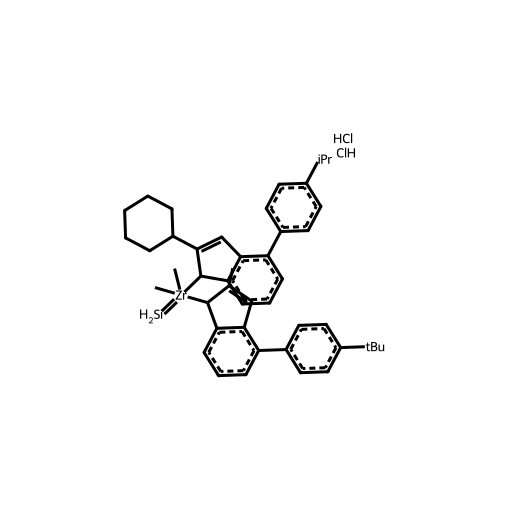 CC1=Cc2c(-c3ccc(C(C)(C)C)cc3)cccc2[CH]1[Zr]([CH3])([CH3])(=[SiH2])[CH]1C(C2CCCCC2)=Cc2c(-c3ccc(C(C)C)cc3)cccc21.Cl.Cl